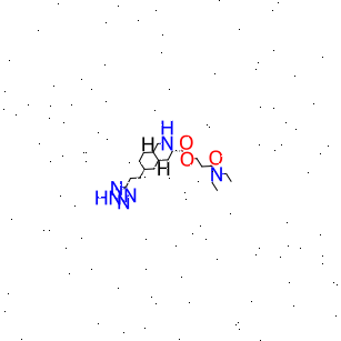 CCN(CC)C(=O)CCOC(=O)[C@@H]1C[C@H]2C[C@@H](CCc3nn[nH]n3)CC[C@H]2CN1